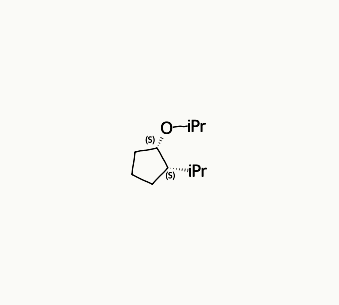 CC(C)O[C@H]1CCC[C@H]1C(C)C